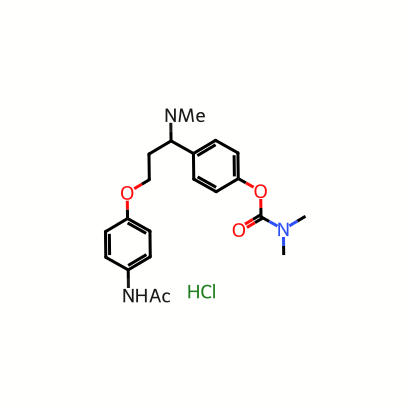 CNC(CCOc1ccc(NC(C)=O)cc1)c1ccc(OC(=O)N(C)C)cc1.Cl